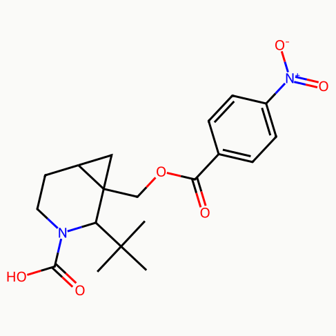 CC(C)(C)C1N(C(=O)O)CCC2CC21COC(=O)c1ccc([N+](=O)[O-])cc1